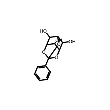 OC1C2OC3(c4ccccc4)OC1C(O)C(O3)C2O